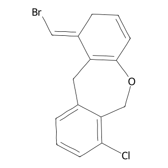 Clc1cccc2c1COC1=C(C2)C(=CBr)CC=C1